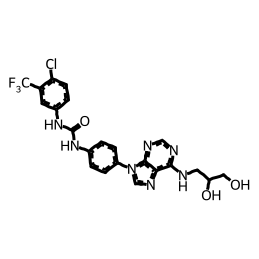 O=C(Nc1ccc(-n2cnc3c(NCC(O)CO)ncnc32)cc1)Nc1ccc(Cl)c(C(F)(F)F)c1